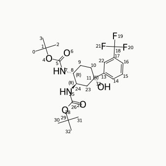 CC(C)(C)OC(=O)N[C@@H]1CC[C@@](O)(c2cccc(C(F)(F)F)c2)C[C@H]1NC(=O)OC(C)(C)C